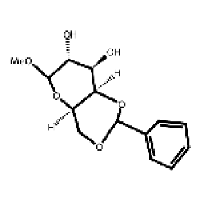 COC1O[C@@H]2COC(c3ccccc3)O[C@@H]2[C@H](O)[C@H]1O